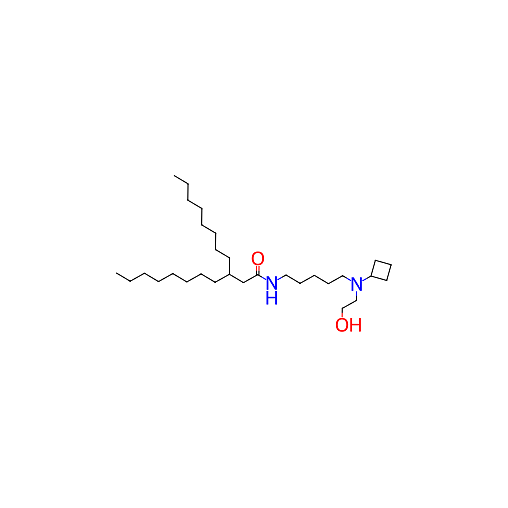 CCCCCCCCC(CCCCCCCC)CC(=O)NCCCCCN(CCO)C1CCC1